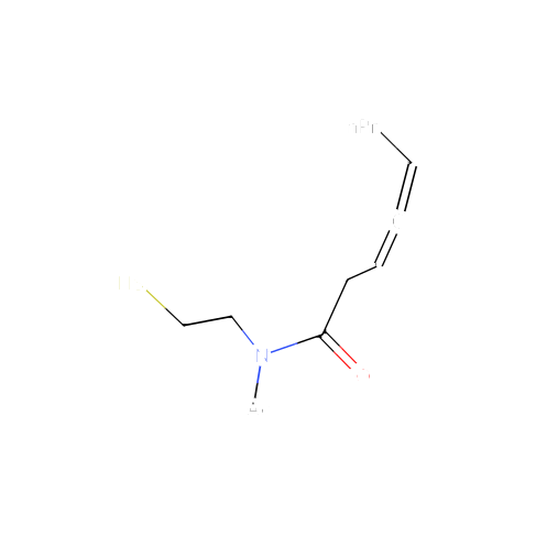 CCCC=C=CCC(=O)N(CCS)C(C)=O